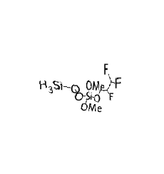 CO[Si](OC)(OCC(F)C(F)F)OO[SiH3]